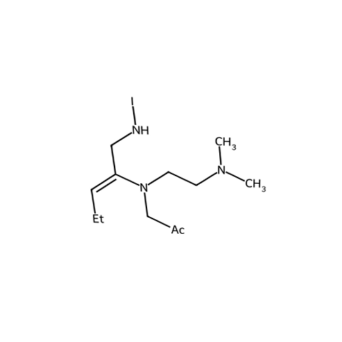 CCC=C(CNI)N(CCN(C)C)CC(C)=O